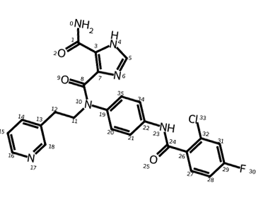 NC(=O)c1[nH]cnc1C(=O)N(CCc1cccnc1)c1ccc(NC(=O)c2ccc(F)cc2Cl)cc1